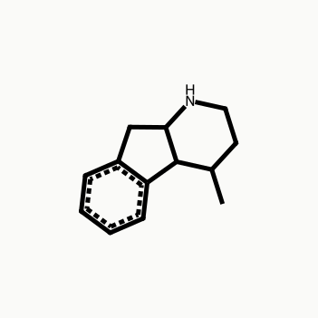 CC1CCNC2Cc3ccccc3C12